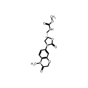 COC(=O)NC[C@H]1CN(c2ccc3c(c2)OCC(=O)N3C)C(=O)O1